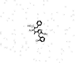 CCCCc1ncc(C(C)N(C(C)=O)C(Cc2ccccc2)C(=O)O)n1Cc1ccccc1Cl